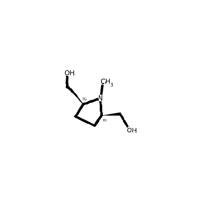 CN1[C@H](CO)CC[C@@H]1CO